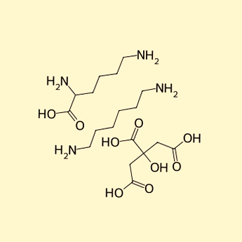 NCCCCC(N)C(=O)O.NCCCCCCN.O=C(O)CC(O)(CC(=O)O)C(=O)O